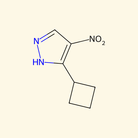 O=[N+]([O-])c1cn[nH]c1C1CCC1